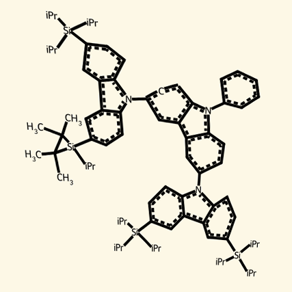 CC(C)[Si](c1ccc2c(c1)c1cc([Si](C(C)C)(C(C)C)C(C)C)ccc1n2-c1ccc2c(c1)c1cc(-n3c4ccc([Si](C(C)C)(C(C)C)C(C)C)cc4c4cc([Si]5(C(C)C)C(C)(C)C5(C)C)ccc43)ccc1n2-c1ccccc1)(C(C)C)C(C)C